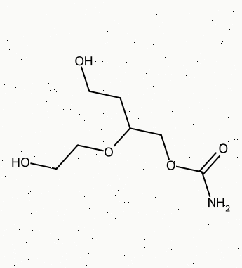 NC(=O)OCC(CCO)OCCO